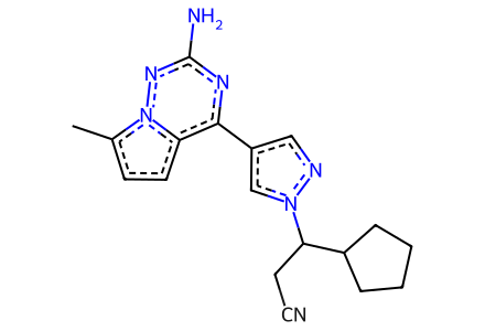 Cc1ccc2c(-c3cnn(C(CC#N)C4CCCC4)c3)nc(N)nn12